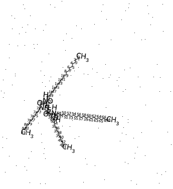 CCCCCCCCCCCCCCCCCCCCCC(=O)N[C@@H](CSSC(=O)[C@@H](CNCCCCCCCCCCCC)NC(=O)CCCCCCCCCCCCCCCCCCCCC)C(=O)NCCCCCCCCCCCC